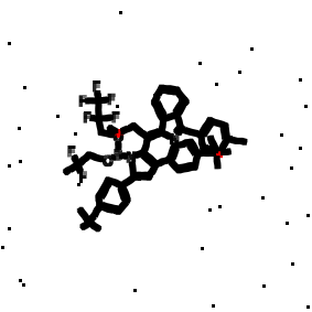 CCC/C(=C1/N=C(c2ccc(C)cc2)c2ccccc21)c1c(-c2ccc(C(C)(C)C)cc2)cc(-c2ccc(C(C)(C)C)cc2)n1B(OCC(C)(F)F)OCC(F)(F)C(F)(F)F